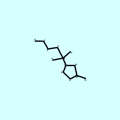 [CH2]CCCC(C)(C)[C]1CCC(C)C1